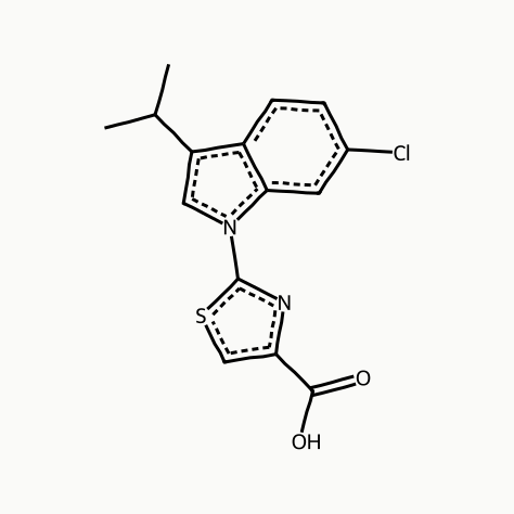 CC(C)c1cn(-c2nc(C(=O)O)cs2)c2cc(Cl)ccc12